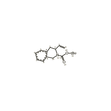 C=CC1Cc2ccccc2CN1C(=O)OC(C)(C)C